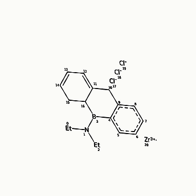 CCN(CC)B1c2ccccc2CC2=CC=CCC12.[Cl-].[Cl-].[Cl-].[Zr+3]